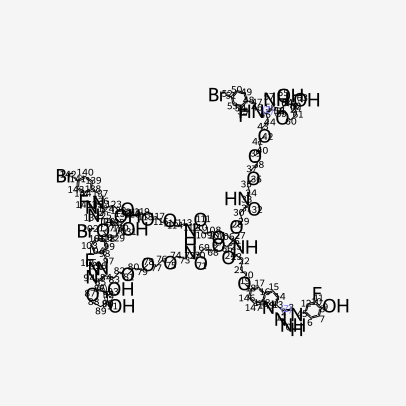 N=N/C(=C\Nc1ccc(O)c(F)c1)c1ccc2cc(OCCCC(=O)NC(COCCC(=O)NCCOCCOCCOCC/C(NCc3ccc(Br)cc3F)=C(/N)[C@H]3OCC[C@@H](O)[C@H]3O)(COCCC(=O)NCCOCCOCCOCCc3c([C@H]4OCC[C@@H](O)[C@H]4O)nnn3Cc3ccc(Br)cc3F)COCCC(=O)NCCOCCOCCOCCc3c([C@H]4OCC[C@@H](O)[C@H]4O)nnn3Cc3ccc(Br)cc3F)ccc2n1